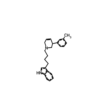 Cc1cccc(C2C=CCN(CCCCc3c[nH]c4ccccc34)C2)c1